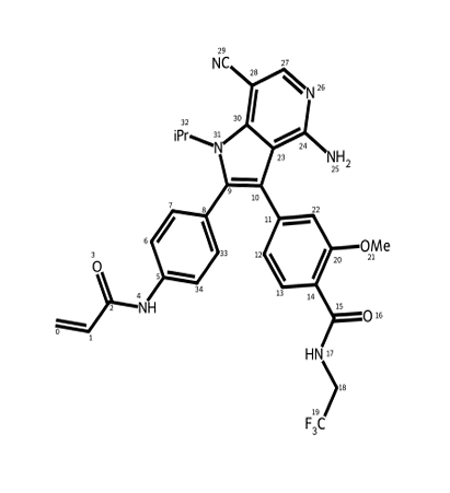 C=CC(=O)Nc1ccc(-c2c(-c3ccc(C(=O)NCC(F)(F)F)c(OC)c3)c3c(N)ncc(C#N)c3n2C(C)C)cc1